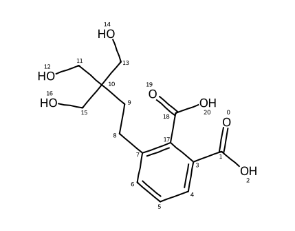 O=C(O)c1cccc(CCC(CO)(CO)CO)c1C(=O)O